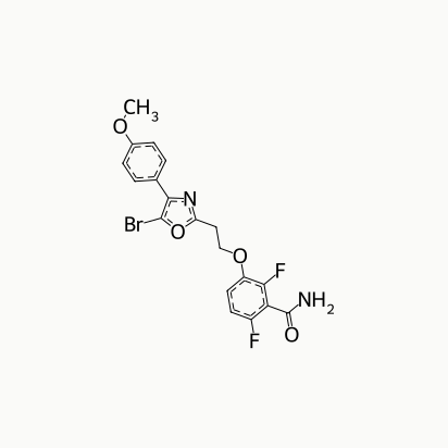 COc1ccc(-c2nc(CCOc3ccc(F)c(C(N)=O)c3F)oc2Br)cc1